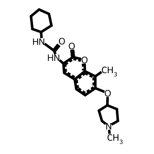 Cc1c(OC2CCN(C)CC2)ccc2cc(NC(=O)NC3CCCCC3)c(=O)oc12